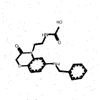 CC(=O)NCCN1C(=O)COc2ccc(NCc3ccccc3)cc21.Cl